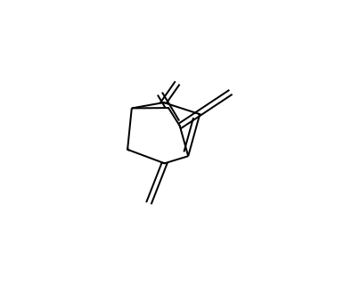 C=C1CC2C(=C)C=C1C(=C)C2=C